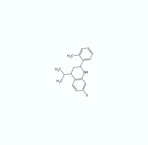 Cc1ccccc1C1CC(C(C)C)c2ccc(F)cc2N1